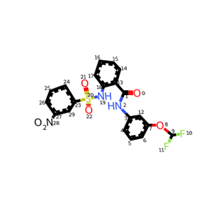 O=C(Nc1cccc(OC(F)F)c1)c1ccccc1NS(=O)(=O)c1cccc([N+](=O)[O-])c1